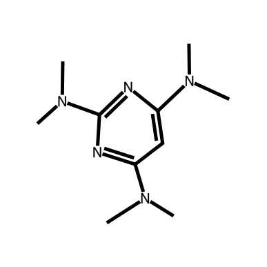 CN(C)c1cc(N(C)C)nc(N(C)C)n1